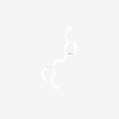 Cc1cccc(OCc2cccc(CO)c2)c1